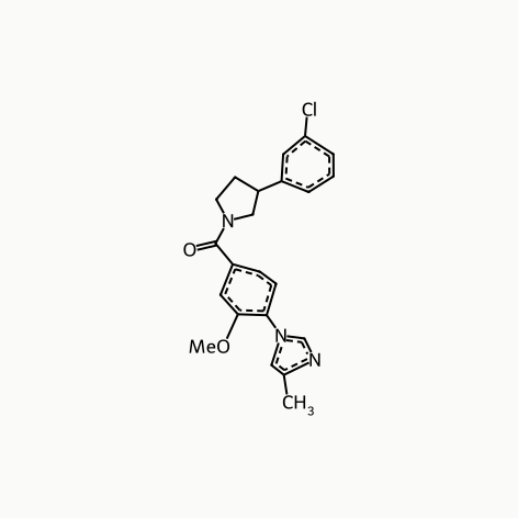 COc1cc(C(=O)N2CCC(c3cccc(Cl)c3)C2)ccc1-n1cnc(C)c1